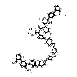 Cc1ncsc1-c1ccc([C@H](C)NC(=O)[C@@H]2C[C@@H](O)CN2C(=O)[C@@H](c2cc(N3CCC(CN4CCC(O[C@H]5C[C@H](N6CCC(Cc7cn(-c8cc(-c9ccccc9O)nnc8N)cn7)CC6)C5)CC4)CC3)no2)C(C)C)cc1